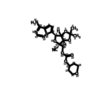 CC1(C)O[C@H]2[C@H](c3ccc4c(N)ncnn34)O[C@](C#N)(COC(=O)OC3CCOCC3)[C@H]2O1